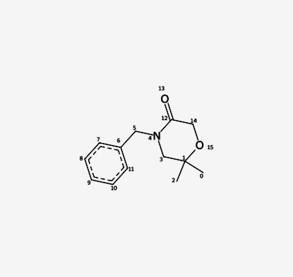 CC1(C)CN(Cc2ccccc2)C(=O)CO1